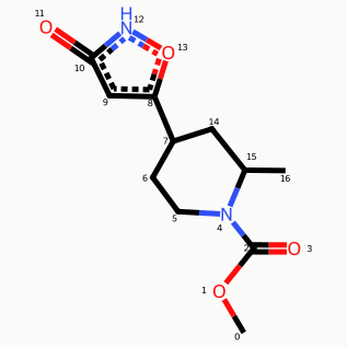 COC(=O)N1CCC(c2cc(=O)[nH]o2)CC1C